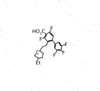 CCC1CCC(CCc2c(-c3cc(F)c(F)c(F)c3)cc(F)c(C(=O)O)c2F)CC1